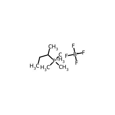 CCC(C)[P+](C)(C)C.F[B-](F)(F)F